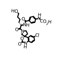 O=C(O)Nc1ccc(C(=O)N[C@@H](CCCCO)C(=O)N2CCC3(C2)OC(=O)Nc2ccc(Cl)cc23)cc1